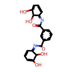 O=C(N=C1C=CC=C(O)C1O)c1cccc(C(=O)N=C2C=CC=C(O)C2O)c1